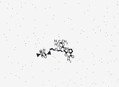 CC(C)(C)OC(=O)N[C@@H](CCCOC/C=C\[C@@H]1C[C@@H]1C(=O)NS(=O)(=O)C1CC1)C(=O)N1CCC[C@H]1C(N)=O